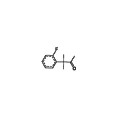 CC(=O)C(C)(C)c1ccccc1F